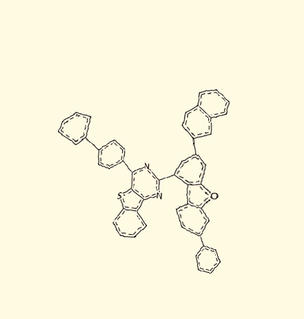 c1ccc(-c2ccc(-c3nc(-c4cc(-c5ccc6ccccc6c5)cc5oc6cc(-c7ccccc7)ccc6c45)nc4c3sc3ccccc34)cc2)cc1